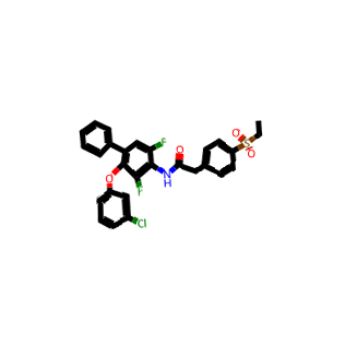 CCS(=O)(=O)c1ccc(CC(=O)Nc2c(F)cc(-c3ccccc3)c(Oc3cccc(Cl)c3)c2F)cc1